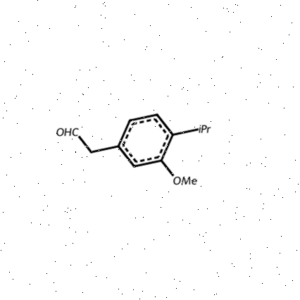 COc1cc(CC=O)ccc1C(C)C